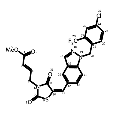 COC(=O)/C=C/CN1C(=O)SC(=Cc2ccc3c(cnn3Cc3ccc(Cl)cc3C(F)(F)F)c2)C1=O